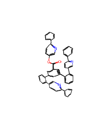 O=C(Oc1ccc(-c2ccccc2)nc1)c1cc(-c2ccccc2-c2ccc(-c3ccccc3)nc2)cc(-c2ccccc2-c2ccc(-c3ccccc3)nc2)c1